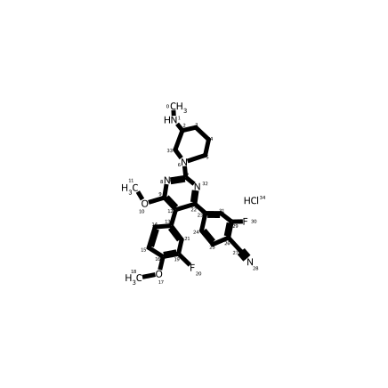 CNC1CCCN(c2nc(OC)c(-c3ccc(OC)c(F)c3)c(-c3ccc(C#N)c(F)c3)n2)C1.Cl